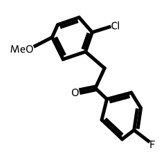 COc1ccc(Cl)c(CC(=O)c2ccc(F)cc2)c1